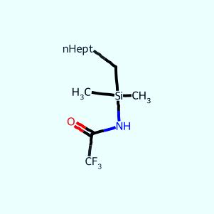 CCCCCCCC[Si](C)(C)NC(=O)C(F)(F)F